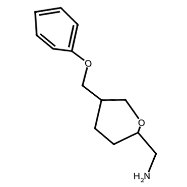 NCC1CCC(COc2ccccc2)CO1